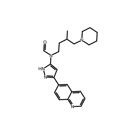 CC(CCN(C=O)c1cc(-c2ccc3ncccc3c2)n[nH]1)CN1CCCCC1